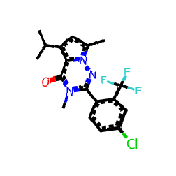 Cc1cc(C(C)C)c2c(=O)n(C)c(-c3ccc(Cl)cc3C(F)(F)F)nn12